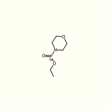 CCO[PH](=O)N1CCOCC1